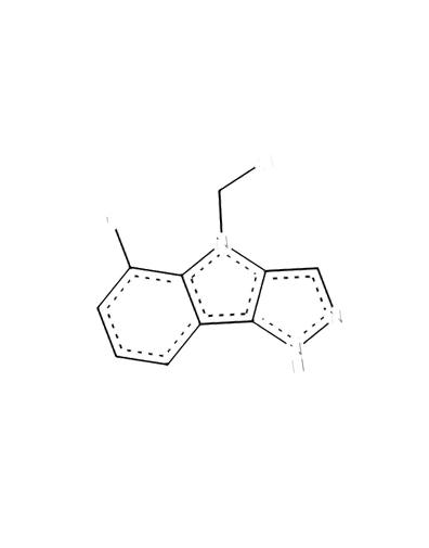 CCn1c2cn[nH]c2c2cccc(Cl)c21